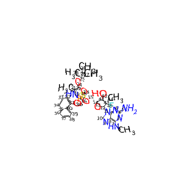 CNc1nc(N)nc2c1ncn2[C@@H]1O[C@H](CO[P@@](=S)(N[C@@H](C)C(=O)OCC(C)(C)C)Oc2cccc3ccccc23)[C@@H](O)[C@@]1(C)F